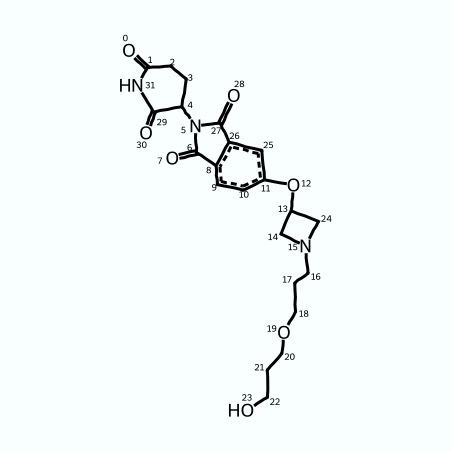 O=C1CCC(N2C(=O)c3ccc(OC4CN(CCCOCCCO)C4)cc3C2=O)C(=O)N1